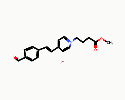 COC(=O)CCC[n+]1ccc(C=Cc2ccc(C=O)cc2)cc1.[Br-]